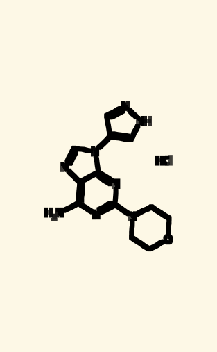 Cl.Nc1nc(N2CCOCC2)nc2c1ncn2-c1cn[nH]c1